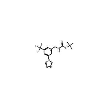 CC(C)(C)OC(=O)NCc1cc(-n2cnnc2)cc(C(F)(F)F)c1